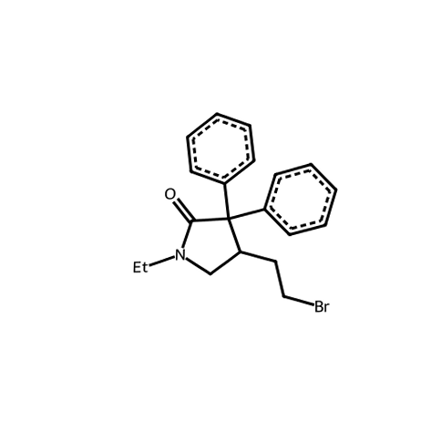 CCN1CC(CCBr)C(c2ccccc2)(c2ccccc2)C1=O